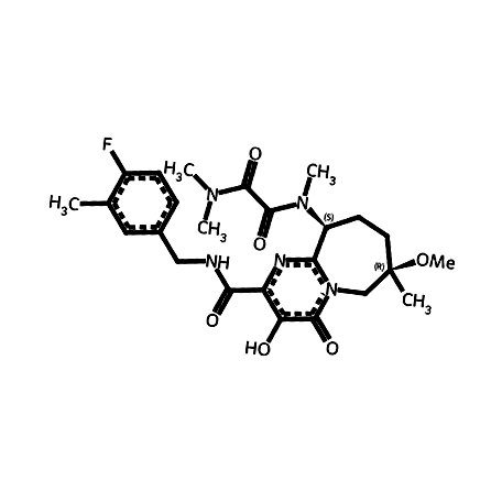 CO[C@]1(C)CC[C@H](N(C)C(=O)C(=O)N(C)C)c2nc(C(=O)NCc3ccc(F)c(C)c3)c(O)c(=O)n2C1